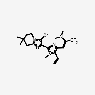 C=Cc1c(/C=C(\N(C)C)C(F)(F)F)nc(-c2nc3n(c2Br)CCC(C)(C)C3)n1C